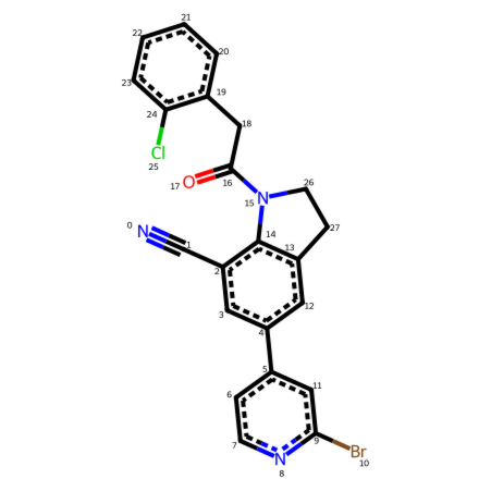 N#Cc1cc(-c2ccnc(Br)c2)cc2c1N(C(=O)Cc1ccccc1Cl)CC2